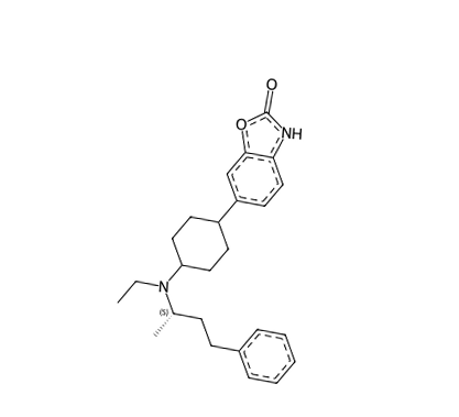 CCN(C1CCC(c2ccc3[nH]c(=O)oc3c2)CC1)[C@@H](C)CCc1ccccc1